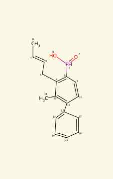 CC=CCc1c([PH](=O)O)ccc(-c2ccccc2)c1C